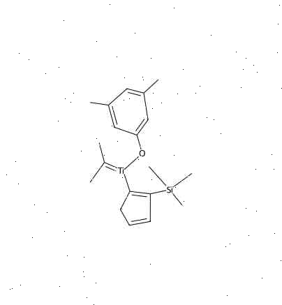 C[C](C)=[Ti]([O]c1cc(C)cc(C)c1)[C]1=C([Si](C)(C)C)C=CC1